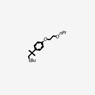 CCCOCCOc1ccc(C(C)(C)CC(C)(C)C)cc1